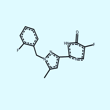 Cc1cc(-c2ncc(F)c(=O)[nH]2)nn1Cc1ccccc1F